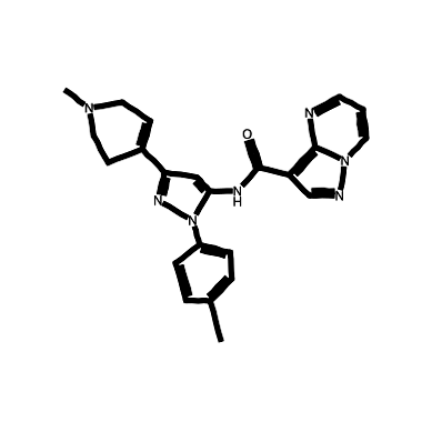 Cc1ccc(-n2nc(C3=CCN(C)CC3)cc2NC(=O)c2cnn3cccnc23)cc1